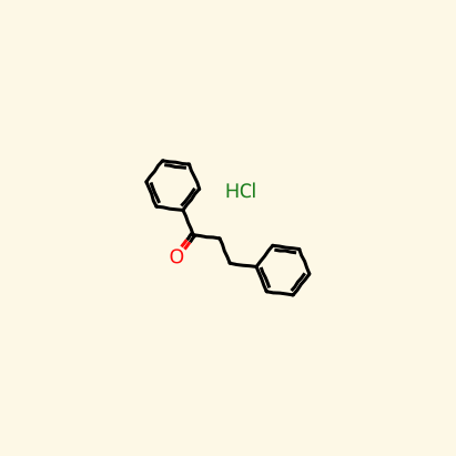 Cl.O=C(CCc1ccccc1)c1ccccc1